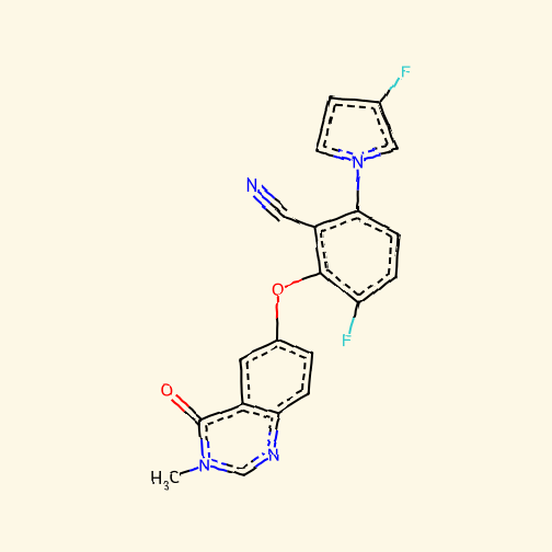 Cn1cnc2ccc(Oc3c(F)ccc(-n4ccc(F)c4)c3C#N)cc2c1=O